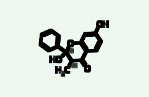 C[C@@H]1C(=O)c2ccc(O)cc2O[C@@]1(O)c1ccccc1